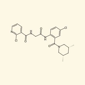 C[C@@H]1C[C@H](C)CN(C(=O)c2cc(Cl)ccc2NC(=O)CNC(=O)c2cccnc2Cl)C1